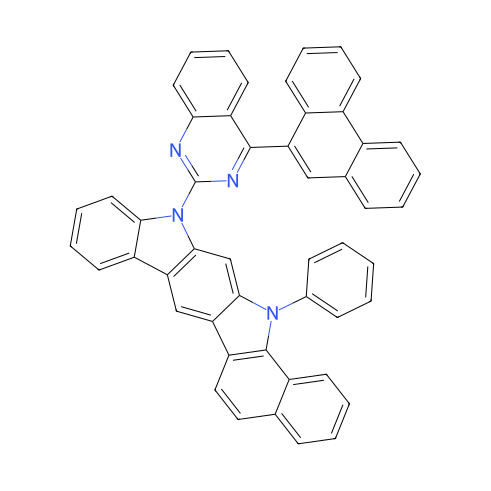 c1ccc(-n2c3cc4c(cc3c3ccc5ccccc5c32)c2ccccc2n4-c2nc(-c3cc4ccccc4c4ccccc34)c3ccccc3n2)cc1